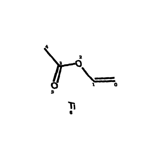 C=COC(C)=O.[Ti]